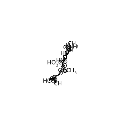 C#COP(=O)(OC#C)OCCCCOC(=O)c1ccc(C)cc1OC(=O)CC[C@H](NC(=O)c1ccc(NCc2cnc3[nH]c(C)nc(=O)c3n2)cc1)C(=O)O